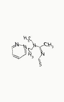 CC(=NC=S)N(C)C.c1ccnnc1